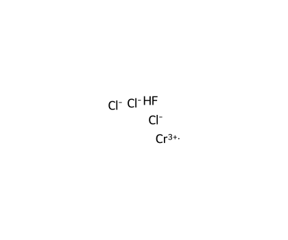 F.[Cl-].[Cl-].[Cl-].[Cr+3]